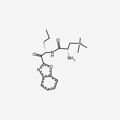 CCC[C@H](NC(=O)[C@@H](N)C[Si](C)(C)C)C(=O)c1nc2ccccc2o1